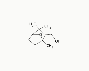 CC12CCC(O1)C(C)(C)C2CO